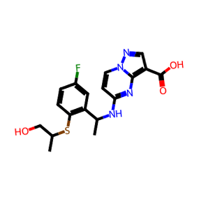 CC(CO)Sc1ccc(F)cc1C(C)Nc1ccn2ncc(C(=O)O)c2n1